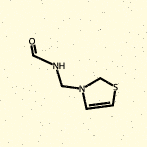 O=CNCN1C=CSC1